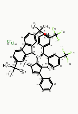 CC1=[C]([Zr+2](=[C](c2cccc(C(F)(F)F)c2)c2cccc(C(F)(F)F)c2)[CH]2c3cc(C(C)(C)C)ccc3-c3ccc(C(C)(C)C)cc32)C(C)C=C1c1ccccc1.[Cl-].[Cl-]